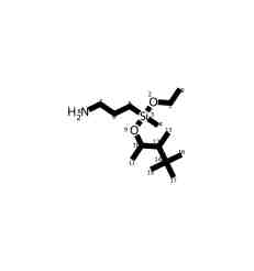 CCO[Si](C)(CCCN)OC(C)C(C)C(C)(C)C